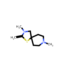 C=C1SC2(CCN(C)CC2)CN1C